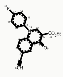 C#Cc1ccc2c(c1)c(=O)c(C(=O)OCC)cn2-c1ccc(F)cc1